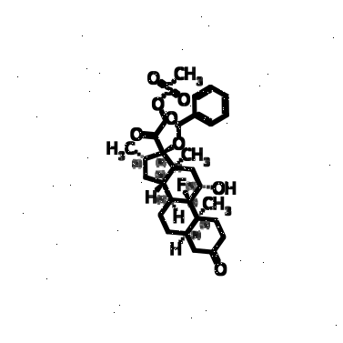 C[C@H]1C[C@H]2[C@@H]3CC[C@@H]4CC(=O)CC[C@]4(C)[C@@]3(F)[C@@H](O)C[C@]2(C)[C@@]1(OC(=O)c1ccccc1)C(=O)COS(C)(=O)=O